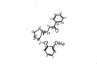 COc1ccccc1OC[C@@H]1SCCN1CCC(=O)c1ccccc1